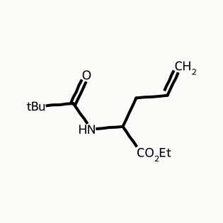 C=CCC(NC(=O)C(C)(C)C)C(=O)OCC